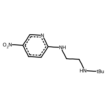 CC(C)(C)NCCNc1ccc([N+](=O)[O-])cn1